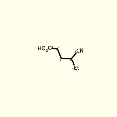 CCC(C#N)CCC(=O)O